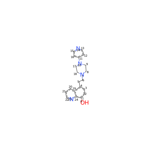 Oc1ccc(CCN2CCN(c3ccncc3)CC2)c2cccnc12